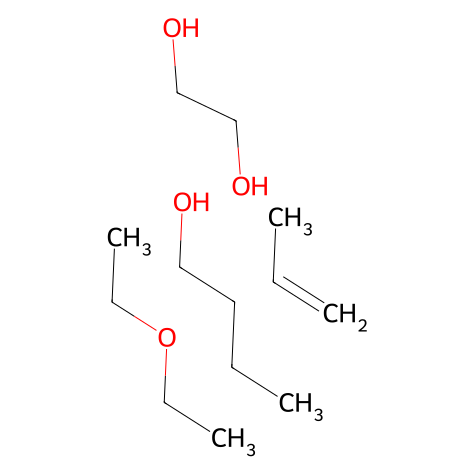 C=CC.CCCCO.CCOCC.OCCO